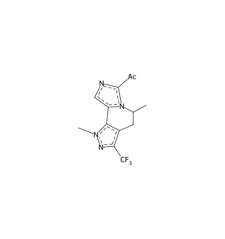 CC(=O)c1ncc2n1C(C)Cc1c(C(F)(F)F)nn(C)c1-2